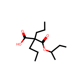 CCCC(CCC)(C(=O)O)C(=O)OC(C)CC